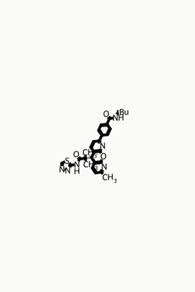 Cc1ccc2c(n1)Oc1nc(-c3ccc(C(=O)NC(C)(C)C)cc3)ccc1[C@H]2C(C)(C)C(=O)Nc1nncs1